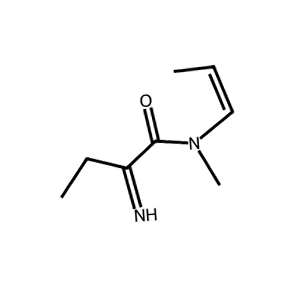 C/C=C\N(C)C(=O)C(=N)CC